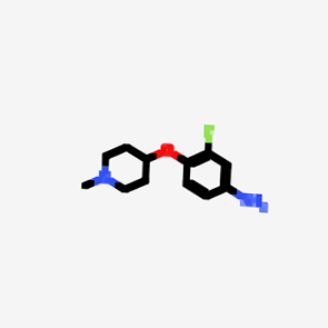 CN1CCC(Oc2ccc(N)cc2F)CC1